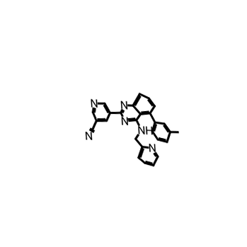 Cc1cccc(-c2cccc3nc(-c4cncc(C#N)c4)nc(NCc4ccccn4)c23)c1